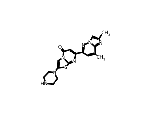 Cc1cn2nc(-c3cc(=O)n4cc(N5CCNCC5)sc4n3)cc(C)c2n1